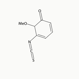 COC1C(=O)C=CC=C1N=C=S